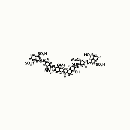 COc1cc(N=Nc2cc(S(=O)(=O)O)c3cccc(S(=O)(=O)O)c3c2)c(C)cc1N=Nc1c(S(=O)(=O)O)cc2cc(Nc3ccc4c(OC)c(N=Nc5cc(C)c(N=Nc6cc(S(=O)(=O)O)c7cccc(S(=O)(=O)O)c7c6)cc5O)c(S(=O)(=O)O)cc4c3)ccc2c1O